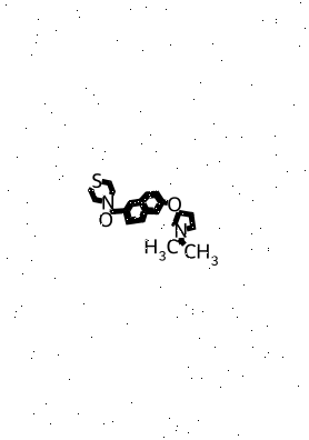 CC(C)N1CCC(Oc2ccc3cc(C(=O)N4CCSCC4)ccc3c2)C1